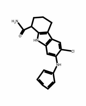 NC(=O)C1CCCc2c1[nH]c1cc(Nc3ccccc3)c(Cl)cc21